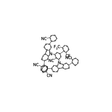 N#Cc1ccccc1-c1ccc2c3ccc(-c4ccccc4C#N)cc3n(-c3cc(-c4c(C(F)(F)F)cccc4C(F)(F)F)cc(-n4c5cc(-c6ccccc6C#N)ccc5c5ccc(-c6ccccc6C#N)cc54)c3C#N)c2c1